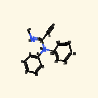 C#CC(=NC)N(c1ccccc1)c1ccccc1